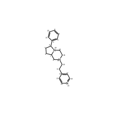 c1ccc(C2CCC3CN(CCc4ccncc4)CCN32)cc1